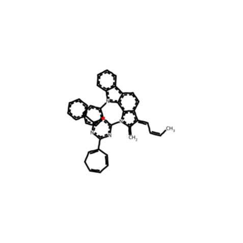 C=c1/c(=C\C=C/C)c2ccc3c4ccccc4n(-c4ccccc4)c3c2n1-c1nc(C2=CCC=CC=C2)nc(-c2ccccc2)n1